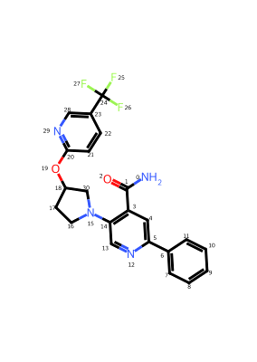 NC(=O)c1cc(-c2ccccc2)ncc1N1CCC(Oc2ccc(C(F)(F)F)cn2)C1